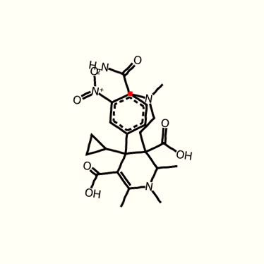 CC1=C(C(=O)O)C(c2cccc([N+](=O)[O-])c2)(C2CC2)C(CCN(C)CC(N)=O)(C(=O)O)C(C)N1C